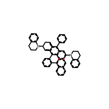 C1=c2c(-c3ccccc3)c3cc(N4CCCc5ccccc54)ccc3c(-c3ccccc3-c3cccc4ccccc34)c2=CC(N2CCCc3ccccc32)C1